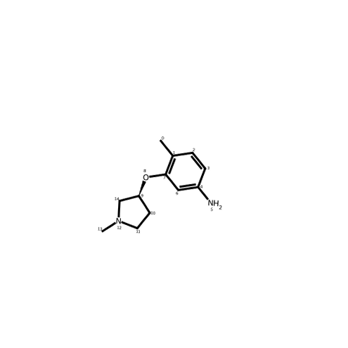 Cc1ccc(N)cc1O[C@H]1CCN(C)C1